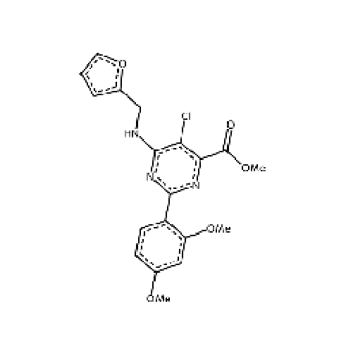 COC(=O)c1nc(-c2ccc(OC)cc2OC)nc(NCc2ccco2)c1Cl